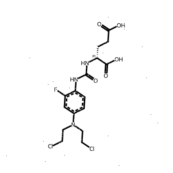 O=C(O)CC[C@@H](NC(=O)Nc1ccc(N(CCCl)CCCl)cc1F)C(=O)O